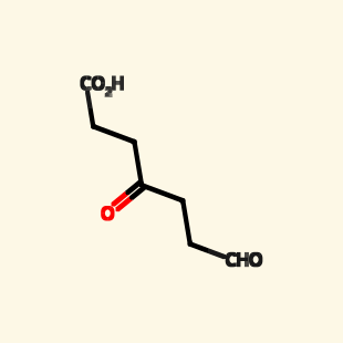 O=CCCC(=O)CCC(=O)O